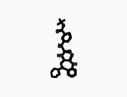 CC(C)(C)OC(=O)c1cccc(NC(=O)N[C@@H]2CN(C3CCCCC3)c3ccccc3NC2=O)c1